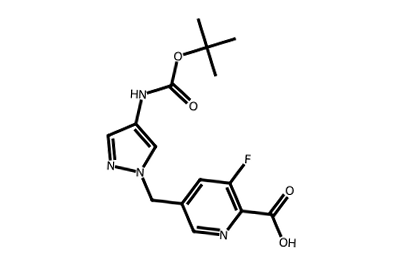 CC(C)(C)OC(=O)Nc1cnn(Cc2cnc(C(=O)O)c(F)c2)c1